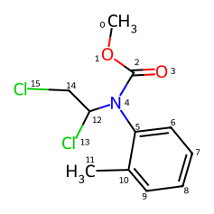 COC(=O)N(c1ccccc1C)C(Cl)CCl